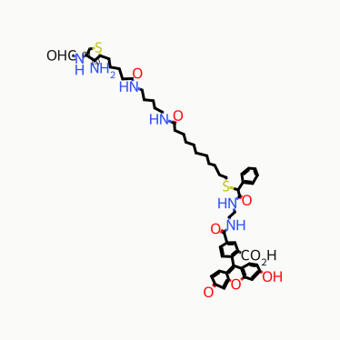 N[C@@H]1C(CCCCC(=O)NCCCCCNC(=O)CCCCCCCCCCSC(C(=O)NCCNC(=O)c2ccc(-c3c4ccc(=O)cc-4oc4cc(O)ccc34)c(C(=O)O)c2)c2ccccc2)SC[C@@H]1NC=O